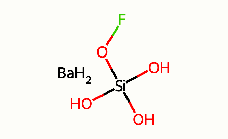 O[Si](O)(O)OF.[BaH2]